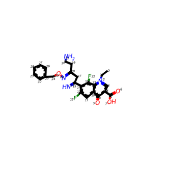 CCn1cc(C(=O)O)c(=O)c2cc(F)c(C(=N)CC(CCN)=NOCc3ccccc3)c(F)c21